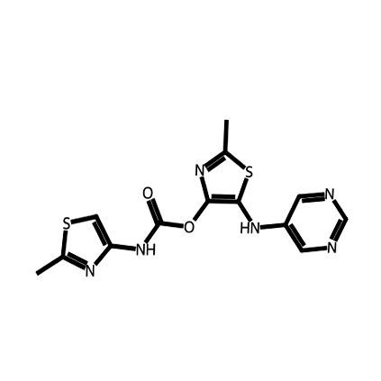 Cc1nc(NC(=O)Oc2nc(C)sc2Nc2cncnc2)cs1